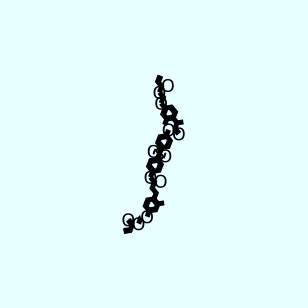 C=CC(=O)OCOc1ccc(CCC(=O)Oc2ccc(S(=O)(=O)c3ccc(OC(=O)C(C)c4ccc(OCOC(=O)C=C)cc4C)cc3)cc2)c(C)c1